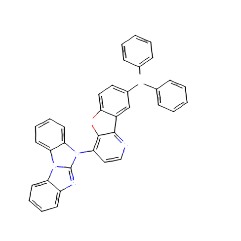 c1ccc([SiH](c2ccccc2)c2ccc3oc4c(-n5c6ccccc6n6c7ccccc7nc56)ccnc4c3c2)cc1